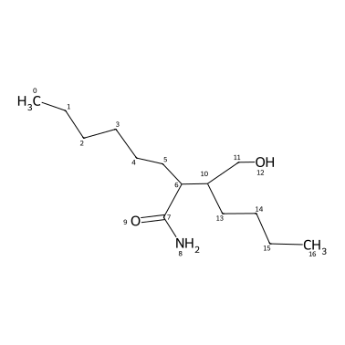 CCCCCCC(C(N)=O)C(CO)CCCC